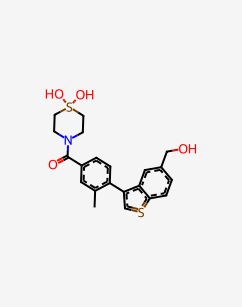 Cc1cc(C(=O)N2CCS(O)(O)CC2)ccc1-c1csc2ccc(CO)cc12